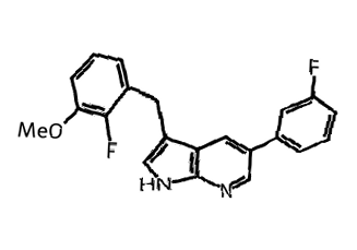 COc1cccc(Cc2c[nH]c3ncc(-c4cccc(F)c4)cc23)c1F